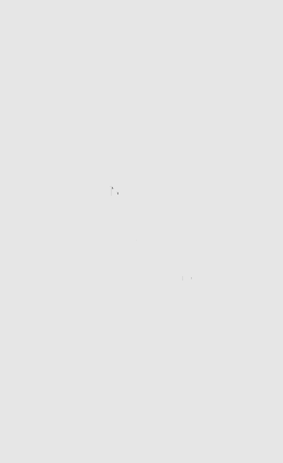 CN(C)C=C1C=COC=C1